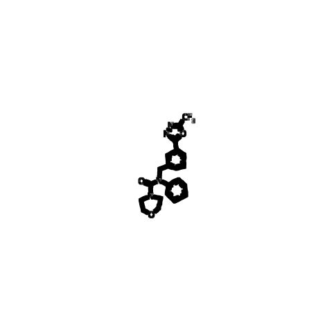 O=C(N1CCOCC1)N(Cc1cccc(-c2nnc(C(F)(F)F)o2)c1)c1ccccc1